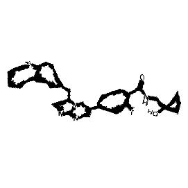 O=C(NCC1(O)CC1)c1ccc(-c2cnc3ncc(Cc4ccc5ncccc5c4)n3c2)cc1F